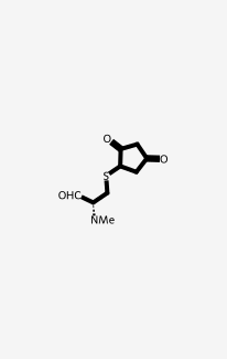 CN[C@H](C=O)CSC1CC(=O)CC1=O